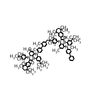 CC1=CC2=C3B(c4cc(C(C)(C)C)ccc4N2c2ccc(-c4ccc(CC(C)(C)c5ccc(N6c7cc(C)cc8c7B(c7cc(C(C)(C)C)ccc7N8c7ccc(-c8ccccc8)cc7C)c7oc8cc9c(cc8c76)C(C)(C)CCC9(C)C)cc5)cc4C)cc2C)c2oc4cc5c(cc4c2N(c2ccc(C(C)(C)C)cc2)C3C1)C(C)(C)CCC5(C)C